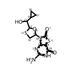 Nc1nc2c(sc(=O)n2C2CSC(C(O)C3CC3)O2)c(=O)[nH]1